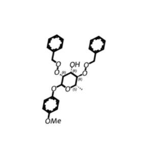 COc1ccc(OC2O[C@@H](C)[C@H](OOCc3ccccc3)[C@@H](O)[C@H]2OOCc2ccccc2)cc1